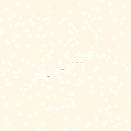 CCCCCCC[B]CCCCCCC